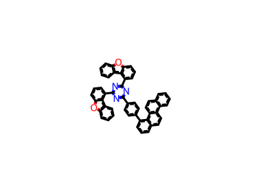 c1ccc2c(c1)ccc1c2ccc2cccc(-c3ccc(-c4nc(-c5cccc6oc7ccccc7c56)nc(-c5cccc6oc7ccccc7c56)n4)cc3)c21